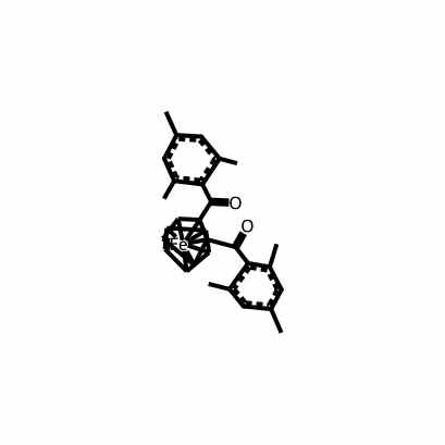 Cc1cc(C)c(C(=O)[C]23[CH]4[CH]5[CH]6[C]2(C(=O)c2c(C)cc(C)cc2C)[Fe]54632789[CH]3[CH]2[CH]7[CH]8[CH]39)c(C)c1